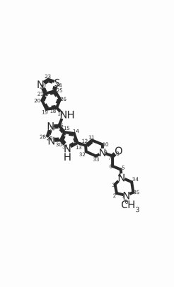 CN1CCN(CCC(=O)N2CC=C(c3cc4c(Nc5ccc6ncsc6c5)ncnc4[nH]3)CC2)CC1